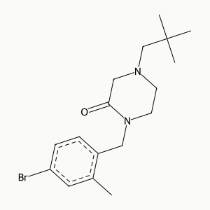 Cc1cc(Br)ccc1CN1CCN(CC(C)(C)C)CC1=O